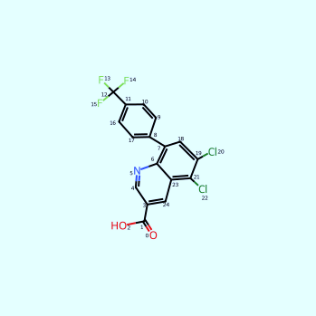 O=C(O)c1cnc2c(-c3ccc(C(F)(F)F)cc3)cc(Cl)c(Cl)c2c1